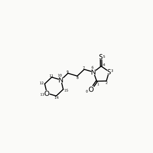 O=C1CSC(=S)N1CCCN1CCOCC1